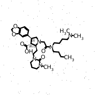 CCCCN(CCCCN(C)C)C(=O)CN1C[C@H](c2ccc3c(c2)OCO3)[C@@H](C(=O)O)[C@@H]1CCN1CCCN(C)C1=O